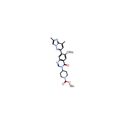 COc1cc2c(=O)n(C3CCN(C(=O)OC(C)(C)C)CC3)cnc2cc1-c1cc(C)c2nc(C)cn2n1